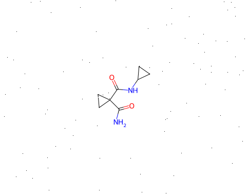 NC(=O)C1(C(=O)NC2CC2)CC1